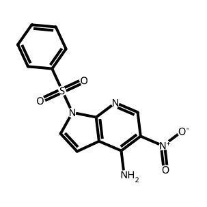 Nc1c([N+](=O)[O-])cnc2c1ccn2S(=O)(=O)c1ccccc1